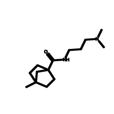 CN(C)CCCNC(=O)C12CCC(C)(CC1)C2